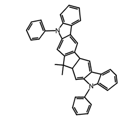 CC1(C)c2cc3c(cc2C2C=c4c(n(-c5ccccc5)c5ccccc45)=CC21)c1ccccc1n3-c1ccccc1